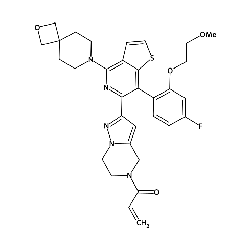 C=CC(=O)N1CCn2nc(-c3nc(N4CCC5(CC4)COC5)c4ccsc4c3-c3ccc(F)cc3OCCOC)cc2C1